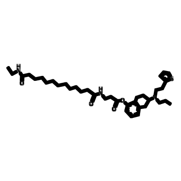 CCCN(CCc1cccs1)C1CCc2c(cccc2OC(=O)CCNC(=O)CCCCCCCCCCCC(=O)NCC)C1